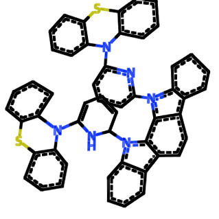 C1=CC(n2c3ccccc3c3ccc4c5ccccc5n(-c5cccc(N6c7ccccc7Sc7ccccc76)n5)c4c32)NC(N2c3ccccc3Sc3ccccc32)=C1